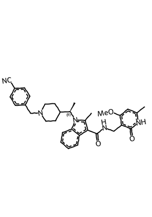 COc1cc(C)[nH]c(=O)c1CNC(=O)c1c(C)n([C@H](C)C2CCN(Cc3ccc(C#N)cc3)CC2)c2ccccc12